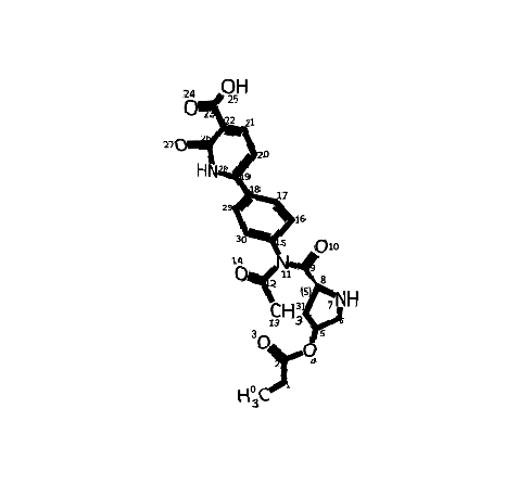 CCC(=O)OC1CN[C@H](C(=O)N(C(C)=O)c2ccc(-c3ccc(C(=O)O)c(=O)[nH]3)cc2)C1